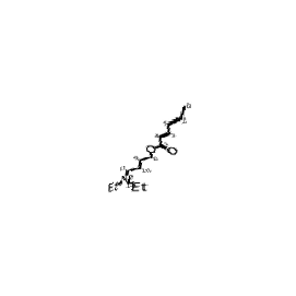 CC=CC=CC(=O)OCCCCN(CC)CC